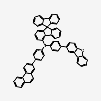 c1ccc2c(c1)-c1ccccc1C21c2ccccc2-c2c(N(c3ccc(-c4ccc5c(ccc6ccccc65)c4)cc3)c3ccc(-c4ccc5oc6ccccc6c5c4)cc3)cccc21